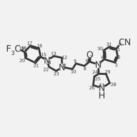 N#Cc1ccc(N(C(=O)CCCN2CCN(c3ccc(C(F)(F)F)cc3)CC2)C2CCNCC2)cc1